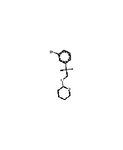 CC(C)(COC1CCCCO1)c1cccc(Br)c1